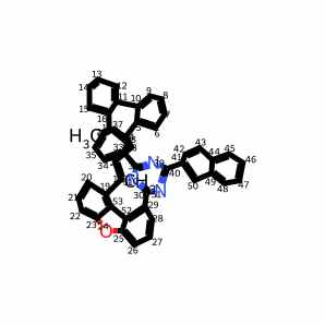 C/C(=C\C=C1\c2ccccc2-c2ccccc2C1C)c1cccc2oc3cccc(-c4nc(-c5ccccc5)nc(-c5ccc6ccccc6c5)n4)c3c12